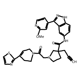 C#CCC1(C(=O)Nc2ccc3[nH]nc(-c4ccnc(OC)c4)c3c2)CCN(CC(=O)N2CC=C(c3nccs3)CC2)C1